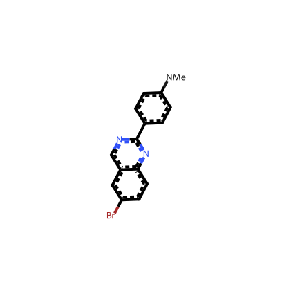 CNc1ccc(-c2ncc3cc(Br)ccc3n2)cc1